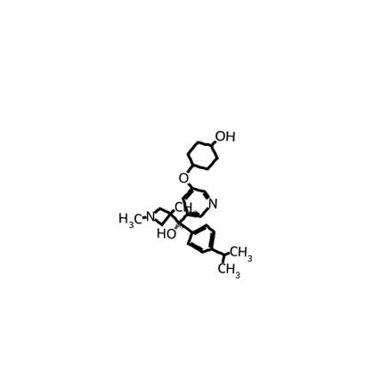 CC(C)c1ccc([C@](O)(c2cncc(OC3CCC(O)CC3)c2)C2(C)CN(C)C2)cc1